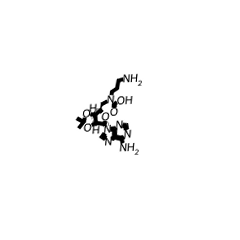 CC1(C)O[C@@H]2[C@H](O1)[C@@H](CN(CCCN)C(=O)O)O[C@H]2n1cnc2c(N)ncnc21